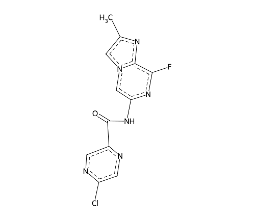 Cc1cn2cc(NC(=O)c3cnc(Cl)cn3)nc(F)c2n1